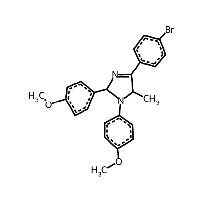 COc1ccc(C2N=C(c3ccc(Br)cc3)C(C)N2c2ccc(OC)cc2)cc1